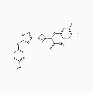 COc1ccc(Oc2nnc(C34CC(C(Oc5ccc(Cl)c(F)c5)C(N)=O)(C3)C4)o2)cn1